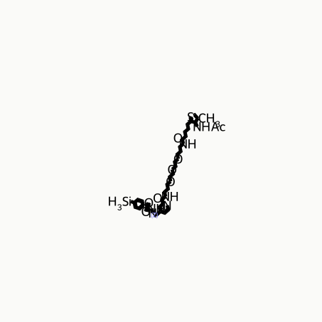 CC(=O)NC1C(C)CSC1CCCCC(=O)NCCCOCCOCCOCCCNC(=O)c1cc(/C=N\NS(=O)(=O)c2ccc([SiH3])cc2)ccn1